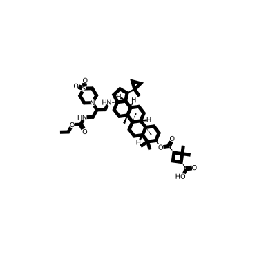 CCOC(=O)NCC(CN[C@]12CC[C@@H](C3(C)CC3)[C@@H]1[C@H]1CC[C@@H]3[C@@]4(C)CC[C@H](OC(=O)[C@H]5C[C@@H](C(=O)O)C5(C)C)C(C)(C)[C@@H]4CC[C@@]3(C)[C@]1(C)CC2)N1CCS(=O)(=O)CC1